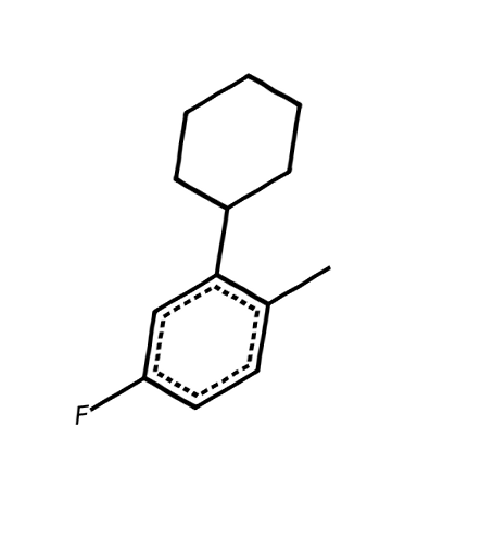 Cc1ccc(F)cc1C1CCCCC1